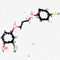 Oc1ccc(OCCCOc2ccc(F)cc2)cc1Cl